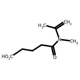 C=C(C)N(C)C(=O)CCCC(=O)O